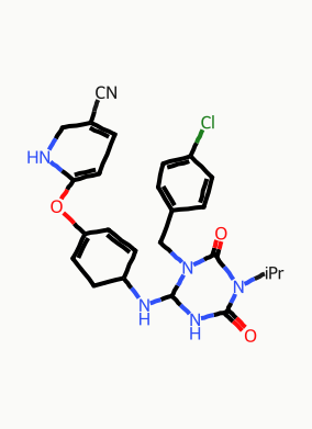 CC(C)N1C(=O)NC(NC2C=CC(OC3=CC=C(C#N)CN3)=CC2)N(Cc2ccc(Cl)cc2)C1=O